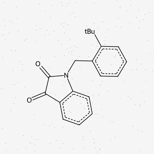 CC(C)(C)c1ccccc1CN1C(=O)C(=O)c2ccccc21